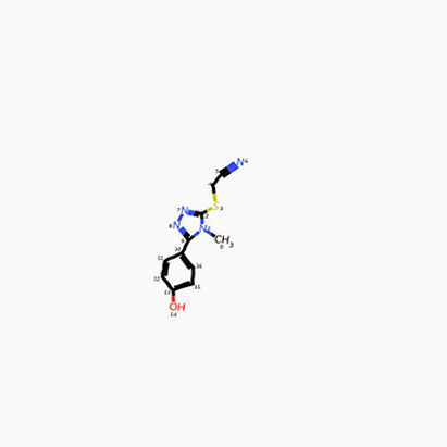 Cn1c(SCC#N)nnc1-c1ccc(O)cc1